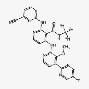 [2H]C([2H])([2H])NC(=O)c1c(Nc2nccc(-c3ncc(F)cn3)c2OC)ccnc1Nc1cccc(C#N)n1